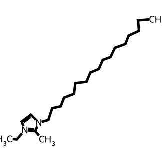 CCCCCCCCCCCCCCCCCn1cc[n+](CC)c1C